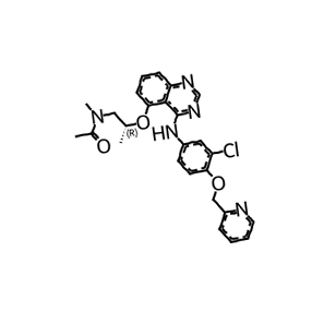 CC(=O)N(C)C[C@@H](C)Oc1cccc2ncnc(Nc3ccc(OCc4ccccn4)c(Cl)c3)c12